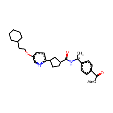 COC(=O)c1ccc([C@H](C)NC(=O)C2CCC(c3ccc(OCCC4CCCCC4)cn3)C2)cc1